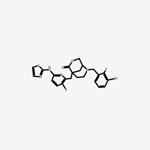 O=C1OC[C]2CC1(Cc1nc(Nc3nccs3)ccc1F)CCN2Cc1cccc(Cl)c1F